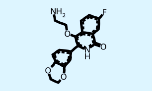 NCCOc1c(-c2ccc3c(c2)OCCO3)[nH]c(=O)c2cc(F)ccc12